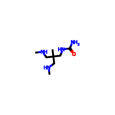 CNCC(C)(CNC)CNC(N)=O